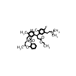 CCOC(=O)CC(c1ccc(C)c(CN2C[C@@H](C)Oc3ccccc3S2(=O)=O)c1)c1cc(CCN(C)C)c(F)cc1C